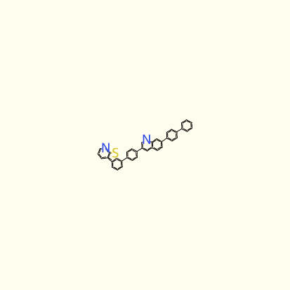 c1ccc(-c2ccc(-c3ccc4cc(-c5ccc(-c6cccc7c6sc6ncccc67)cc5)cnc4c3)cc2)cc1